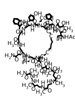 CC(=O)N[C@@H](CC(C)C)C(=O)N[C@H](C(=O)N[C@@H](Cc1ccccc1)C(=O)N[C@]1(C)CCCCCC/C=C/CCC[C@@](C)(C(=O)CN[C@@H](C)C(=O)CNC(C)(C)C(=O)CC(=O)[C@H](C)NCCC(=O)[C@H](C)NCCC(=O)[C@H](C)NCN[C@H](C)C(N)=O)NC(=O)[C@H](CC(C)C)NN[C@@H](CCC(N)=O)C(=O)CN[C@@H](C)C(=O)CC(=O)[C@H](Cc2c[nH]c3ccccc23)NC(=O)[C@H](Cc2ccc(O)cc2)NC(=O)[C@H](CCC(=O)O)NC1=O)[C@@H](C)O